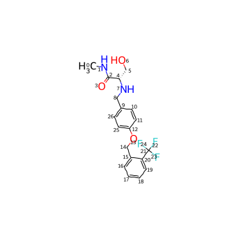 CNC(=O)[C@H](CO)NCc1ccc(OCc2ccccc2C(F)(F)F)cc1